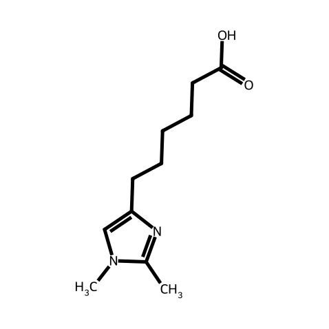 Cc1nc(CCCCCC(=O)O)cn1C